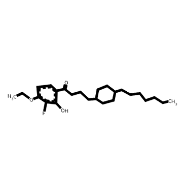 CCCCCCCC1CCC(CCCC(=O)c2ccc(OCC)c(F)c2O)CC1